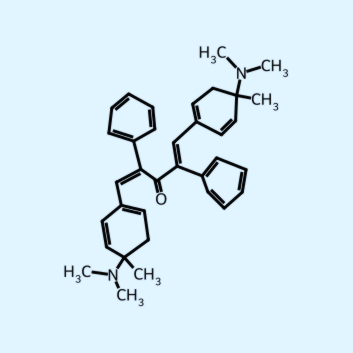 CN(C)C1(C)C=CC(C=C(C(=O)C(=CC2=CCC(C)(N(C)C)C=C2)c2ccccc2)c2ccccc2)=CC1